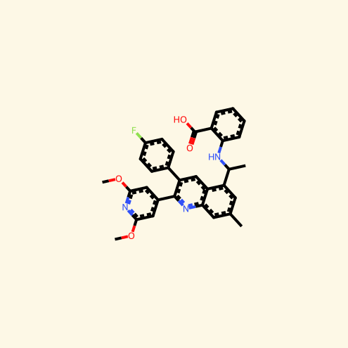 COc1cc(-c2nc3cc(C)cc(C(C)Nc4ccccc4C(=O)O)c3cc2-c2ccc(F)cc2)cc(OC)n1